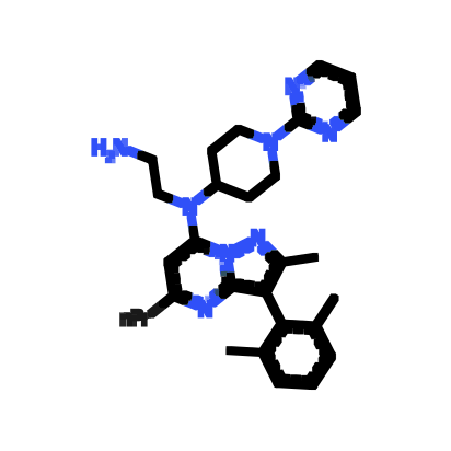 CCCc1cc(N(CCN)C2CCN(c3ncccn3)CC2)n2nc(C)c(-c3c(C)cccc3C)c2n1